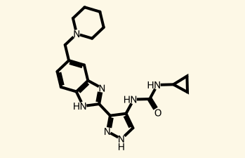 O=C(Nc1c[nH]nc1-c1nc2cc(CN3CCCCC3)ccc2[nH]1)NC1CC1